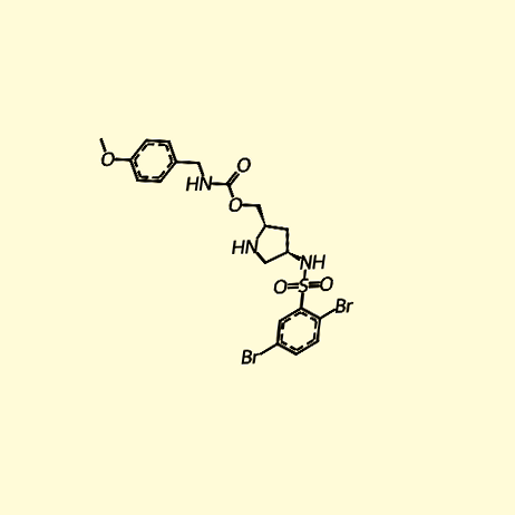 COc1ccc(CNC(=O)OC[C@H]2C[C@@H](NS(=O)(=O)c3cc(Br)ccc3Br)CN2)cc1